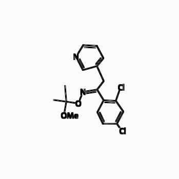 COC(C)(C)ON=C(Cc1cccnc1)c1ccc(Cl)cc1Cl